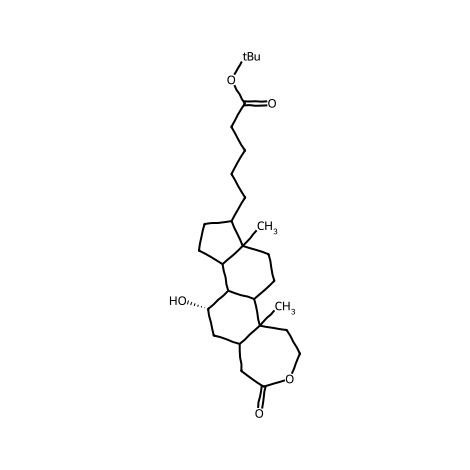 CC(C)(C)OC(=O)CCCCC1CCC2C3C(CCC12C)C1(C)CCOC(=O)CC1C[C@@H]3O